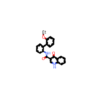 CCOc1ccccc1-c1ccccc1NC(=O)c1c[nH]c2ccccc2c1=O